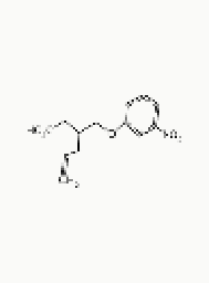 C=CC[C@H](COc1cccc([N+](=O)[O-])c1)CC(=O)O